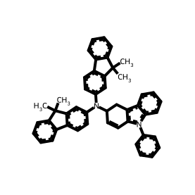 CC1(C)c2ccccc2-c2ccc(N(c3ccc4c(c3)C(C)(C)c3ccccc3-4)C3C=Cc4c(c5ccccc5n4-c4ccccc4)C3)cc21